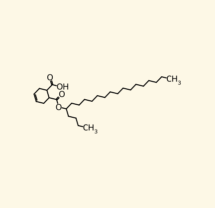 CCCCCCCCCCCCCCCCC(CCCC)OC(=O)C1CC=CCC1C(=O)O